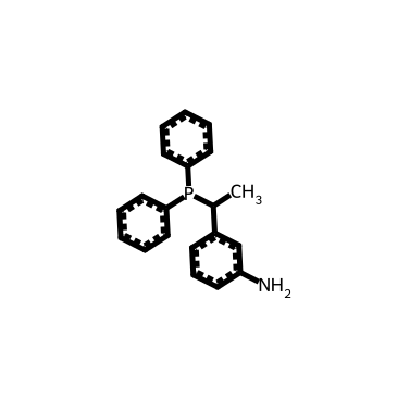 CC(c1cccc(N)c1)P(c1ccccc1)c1ccccc1